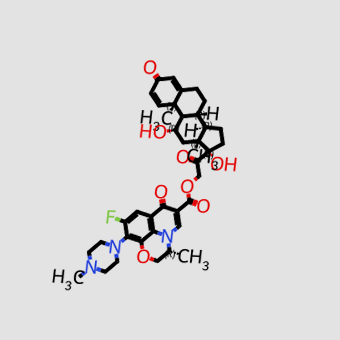 C[C@@H]1COc2c(N3CCN(C)CC3)c(F)cc3c(=O)c(C(=O)OCC(=O)[C@]4(O)CC[C@@H]5[C@H]6CCC7=CC(=O)C=C[C@@]7(C)C6[C@H](O)C[C@]54C)cn1c23